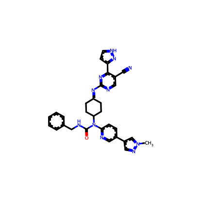 Cn1cc(-c2ccc(N(C(=O)NCc3ccccc3)C3CCC(=Nc4ncc(C#N)c(-c5cc[nH]n5)n4)CC3)nc2)cn1